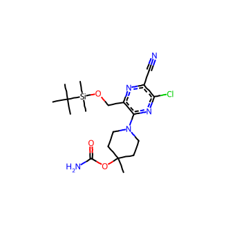 CC1(OC(N)=O)CCN(c2nc(Cl)c(C#N)nc2CO[Si](C)(C)C(C)(C)C)CC1